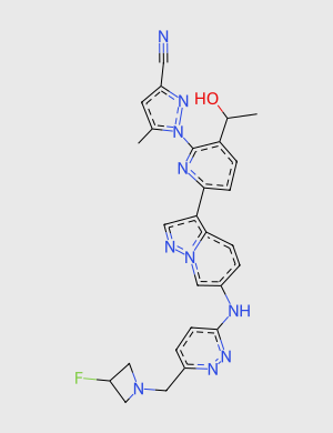 Cc1cc(C#N)nn1-c1nc(-c2cnn3cc(Nc4ccc(CN5CC(F)C5)nn4)ccc23)ccc1C(C)O